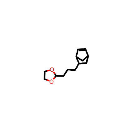 C1=CC2CC1CC2CCCC1OCCO1